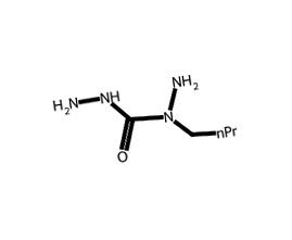 [CH2]CCCN(N)C(=O)NN